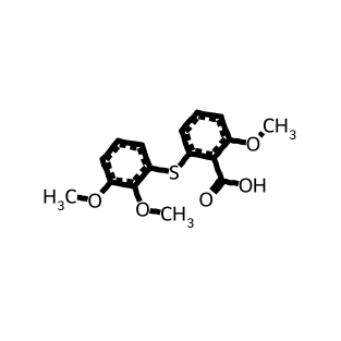 COc1cccc(Sc2cccc(OC)c2C(=O)O)c1OC